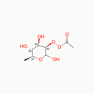 CC(=O)OO[C@H]1C(O)O[C@@H](C)[C@H](O)[C@H]1O